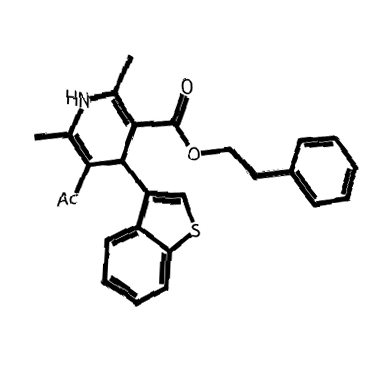 CC(=O)C1=C(C)NC(C)=C(C(=O)OCCc2ccccc2)C1c1csc2ccccc12